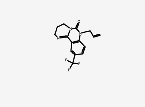 C=CCN1C(=O)N2CCCN=C2c2cc(C(F)(F)F)ccc21